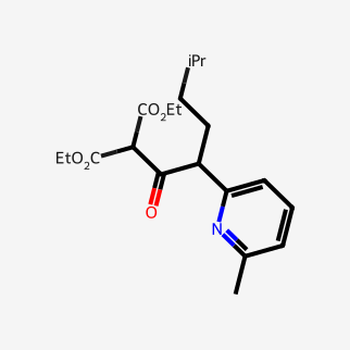 CCOC(=O)C(C(=O)OCC)C(=O)C(CCC(C)C)c1cccc(C)n1